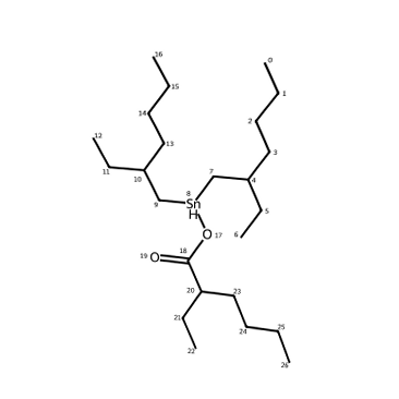 CCCCC(CC)[CH2][SnH]([CH2]C(CC)CCCC)[O]C(=O)C(CC)CCCC